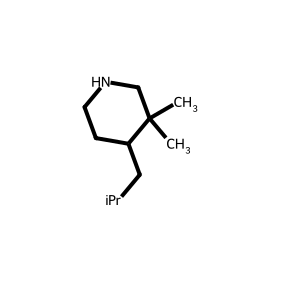 CC(C)CC1CCNCC1(C)C